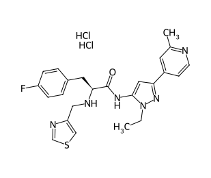 CCn1nc(-c2ccnc(C)c2)cc1NC(=O)[C@H](Cc1ccc(F)cc1)NCc1cscn1.Cl.Cl